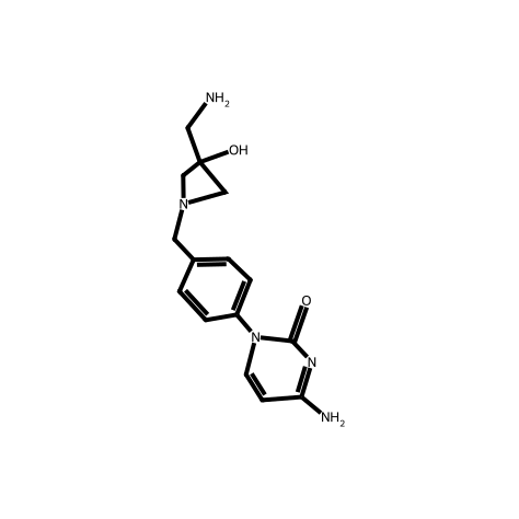 NCC1(O)CN(Cc2ccc(-n3ccc(N)nc3=O)cc2)C1